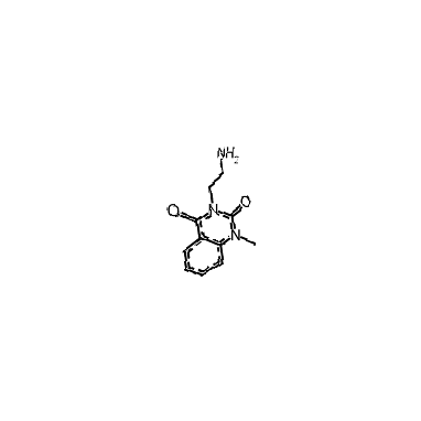 Cn1c(=O)n(CCN)c(=O)c2ccccc21